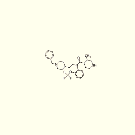 CC1CNCCC1C(=O)N(CCC1CCN(Cc2ccccc2)CC1)c1ccccc1OC(F)(F)F